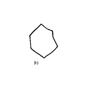 C1CCCCC1.[H]